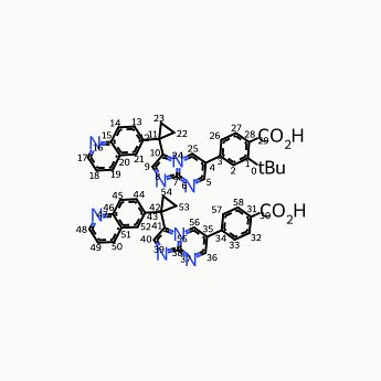 CC(C)(C)c1cc(-c2cnc3ncc(C4(c5ccc6ncccc6c5)CC4)n3c2)ccc1C(=O)O.O=C(O)c1ccc(-c2cnc3ncc(C4(c5ccc6ncccc6c5)CC4)n3c2)cc1